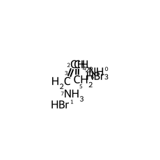 Br.Br.C=C.C=C.N.N